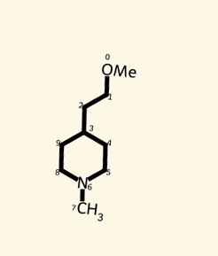 COCCC1CCN(C)CC1